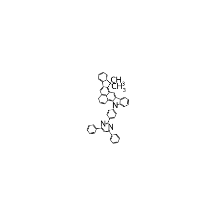 CC1(C)c2ccccc2-c2cc3c4c(c5c(cc4c21)c1ccccc1n5-c1ccc(-c2nc(-c4ccccc4)cc(-c4ccccc4)n2)cc1)C=CC3